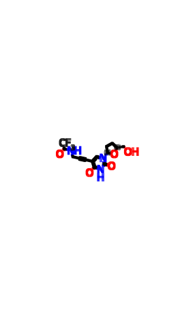 O=C(NCC#Cc1cn([C@H]2CC[C@@H](CO)O2)c(=O)[nH]c1=O)C(F)(F)F